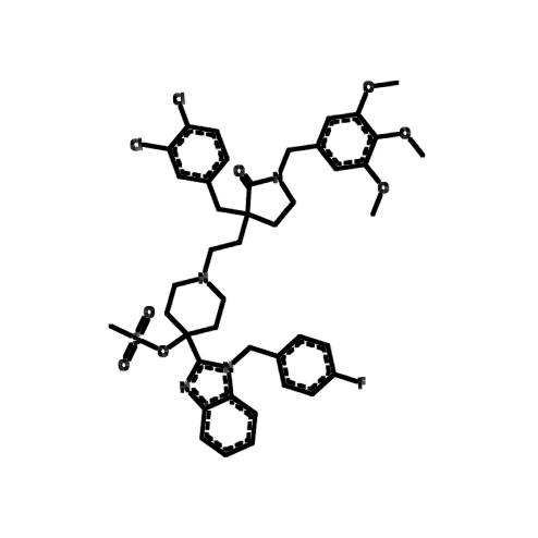 COc1cc(CN2CCC(CCN3CCC(OS(C)(=O)=O)(c4nc5ccccc5n4Cc4ccc(F)cc4)CC3)(Cc3ccc(Cl)c(Cl)c3)C2=O)cc(OC)c1OC